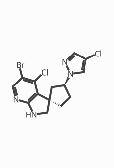 Clc1cnn([C@H]2CC[C@@]3(CNc4ncc(Br)c(Cl)c43)C2)c1